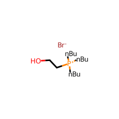 CCCC[P+](CCO)(CCCC)CCCC.[Br-]